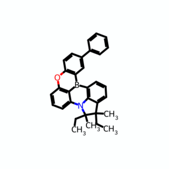 CCC1(C)c2cccc3c2N(c2cccc4c2B3c2cc(-c3ccccc3)ccc2O4)C1(C)CC